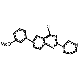 COc1cccc(-c2ccc3nc(-c4cccnc4)nc(Cl)c3c2)c1